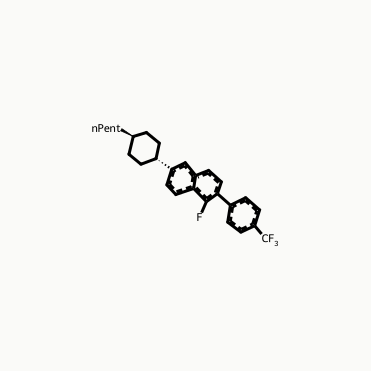 CCCCC[C@H]1CC[C@H](c2ccc3c(F)c(-c4ccc(C(F)(F)F)cc4)ccc3c2)CC1